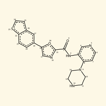 O=C(Nc1cnccc1N1CCNCC1)c1ncc(-c2ccc3sccc3c2)o1